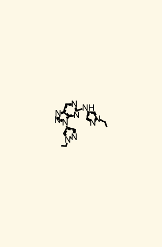 CCn1cc(Nc2ncc3nnn(-c4cnn(CC)c4)c3n2)cn1